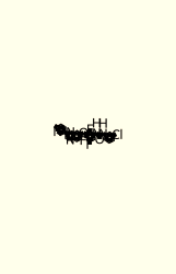 Cc1ccc(-c2cnc3ccc(Oc4c(F)c(F)cc(NC(=O)Nc5cccc(Cl)c5)c4F)cc3n2)cn1